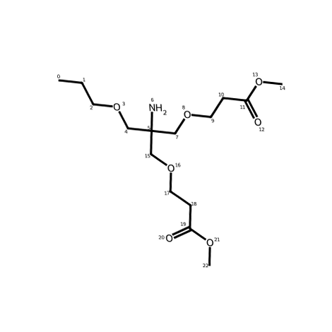 CCCOCC(N)(COCCC(=O)OC)COCCC(=O)OC